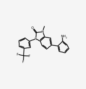 Cn1c(=O)n(-c2cccc(C(F)(F)F)c2)c2ccc(-c3ccccc3N)cc21